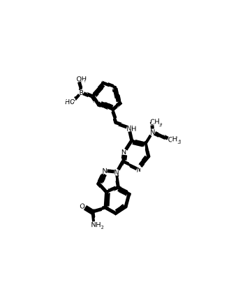 CN(C)c1cnc(-n2ncc3c(C(N)=O)cccc32)nc1NCc1cccc(B(O)O)c1